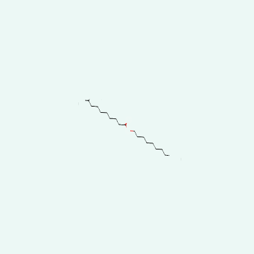 CCCCCCCCCOC(=O)CCCCCCCC(C)C